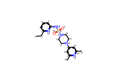 CCc1cccc(NS(=O)(=O)N2CCN(c3cc(C)nc(C)c3)CC2)n1